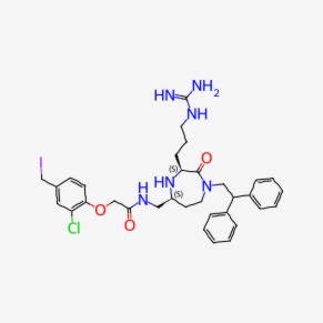 N=C(N)NCCC[C@@H]1N[C@H](CNC(=O)COc2ccc(CI)cc2Cl)CCN(CC(c2ccccc2)c2ccccc2)C1=O